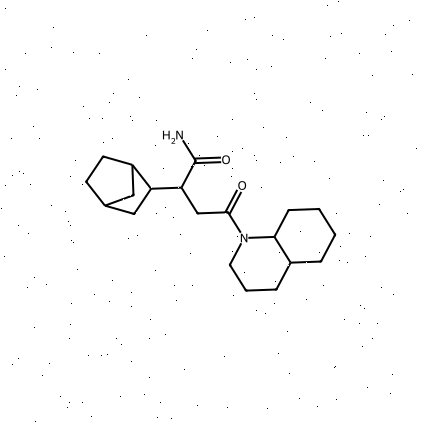 NC(=O)C(CC(=O)N1CCCC2CCCCC21)C1CC2CCC1C2